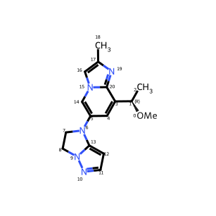 CO[C@H](C)c1cc(N2CCn3nccc32)cn2cc(C)nc12